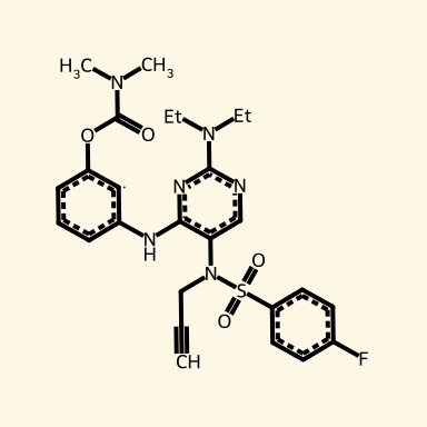 C#CCN(c1cnc(N(CC)CC)nc1Nc1[c]c(OC(=O)N(C)C)ccc1)S(=O)(=O)c1ccc(F)cc1